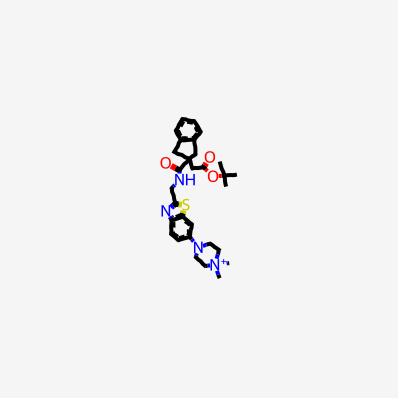 CC(C)(C)OC(=O)CC1(C(=O)NCc2nc3ccc(N4CC[N+](C)(C)CC4)cc3s2)Cc2ccccc2C1